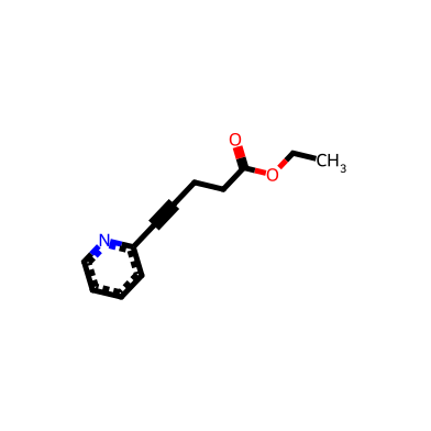 CCOC(=O)CCC#Cc1ccccn1